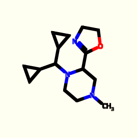 CN1CCN(C(C2CC2)C2CC2)C(C2=NCCO2)C1